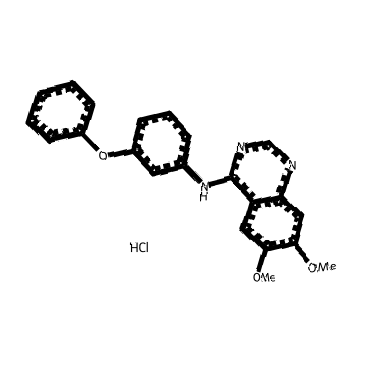 COc1cc2ncnc(Nc3cccc(Oc4ccccc4)c3)c2cc1OC.Cl